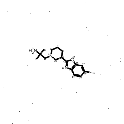 CC(C)(N)CN1CCCC(c2nc3ccc(F)cc3o2)C1